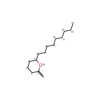 C=C1CCCC(CCCCCCCCC)O1